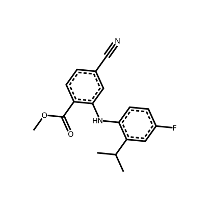 COC(=O)c1ccc(C#N)cc1Nc1ccc(F)cc1C(C)C